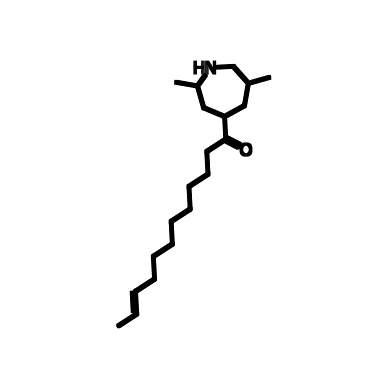 C/C=C/CCCCCCCCC(=O)C1CC(C)CNC(C)C1